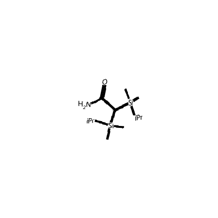 CC(C)[Si](C)(C)C(C(N)=O)[Si](C)(C)C(C)C